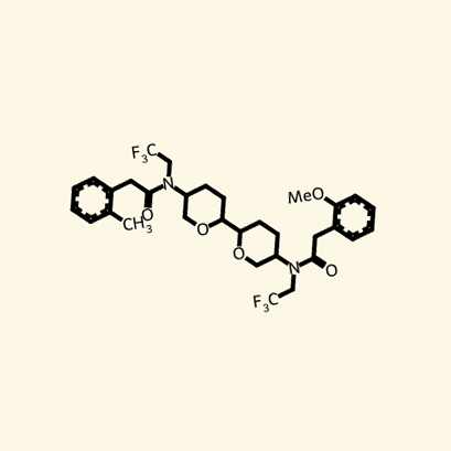 COc1ccccc1CC(=O)N(CC(F)(F)F)C1CCC(C2CCC(N(CC(F)(F)F)C(=O)Cc3ccccc3C)CO2)OC1